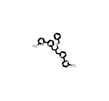 Cc1cccc(-c2cccc(CC(COCc3ccccc3)Cc3cccc(-c4cccc(C)n4)n3)n2)n1